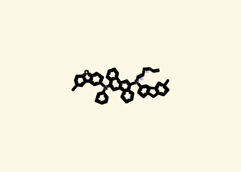 C=C/C=C\C=C\N(c1ccc2c(c1)-c1cc(C)ccc1C2)c1cc2c3ccccc3c(N(c3ccccc3)c3ccc4oc5ccc(C)cc5c4c3)cc2c2ccccc12